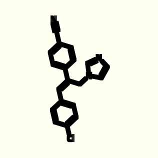 N#Cc1ccc(C(=Cc2ccc(Cl)cc2)Cn2ccnc2)cc1